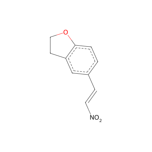 O=[N+]([O-])C=Cc1ccc2c(c1)CCO2